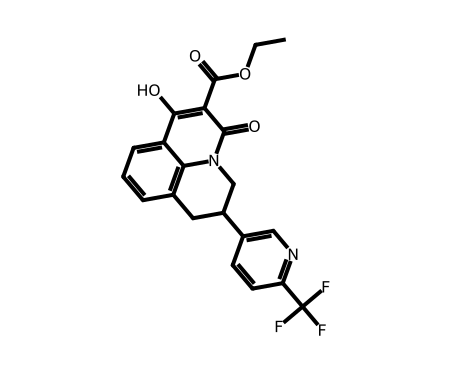 CCOC(=O)c1c(O)c2cccc3c2n(c1=O)CC(c1ccc(C(F)(F)F)nc1)C3